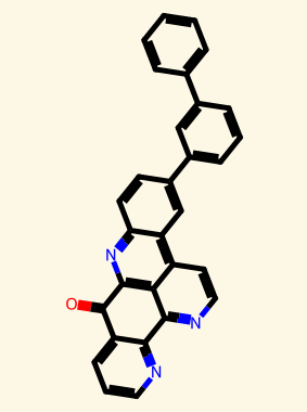 O=C1c2cccnc2-c2nccc3c2c1nc1ccc(-c2cccc(-c4ccccc4)c2)cc13